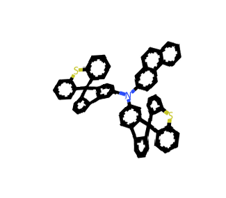 c1ccc2c(c1)Sc1ccccc1C21c2ccccc2-c2cc(N(c3ccc4c(c3)C3(c5ccccc5Sc5ccccc53)c3ccccc3-4)c3ccc4c(ccc5ccccc54)c3)ccc21